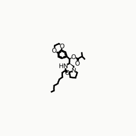 CCCCCCCC(=O)N[C@H](CN1CCCC1)[C@H](OC(=O)C(C)C)c1ccc2c(c1)OCCO2